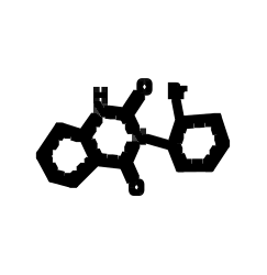 O=c1[nH]c2ccccc2c(=O)n1-c1ccccc1Br